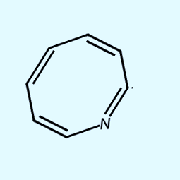 [C]1=NC=CC=CC=C1